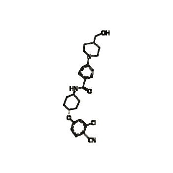 N#Cc1ccc(O[C@H]2CC[C@H](NC(=O)c3ccc(N4CCC(CO)CC4)cc3)CC2)cc1Cl